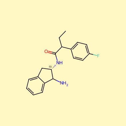 CCC(C(=O)N[C@H]1Cc2ccccc2C1N)c1ccc(F)cc1